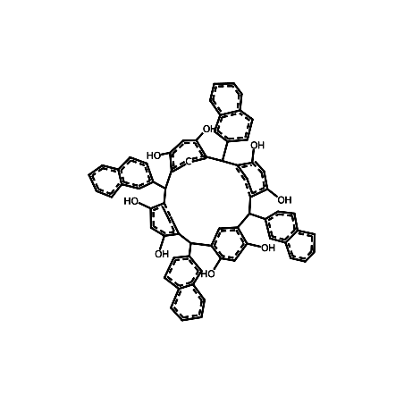 Oc1cc(O)c2cc1C(c1ccc3ccccc3c1)c1cc(c(O)cc1O)C(c1ccc3ccccc3c1)c1cc(c(O)cc1O)C(c1ccc3ccccc3c1)c1cc(c(O)cc1O)C2c1ccc2ccccc2c1